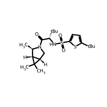 C[C@@H]1[C@@H]2[C@H](CN1C(=O)[C@@H](NS(=O)(=O)c1ccc(C(C)(C)C)s1)C(C)(C)C)C2(C)C